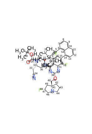 CC(C)[Si](C#Cc1cccc2cccc(-c3c(F)cc4c(N5CCN(C(=O)OC(C)(C)C)[C@@H](CC#N)C5)nc(OC[C@@]56CCCN5C[C@H](F)C6)nc4c3F)c12)(C(C)C)C(C)C